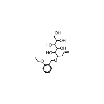 C=CCC(OCc1ccccc1OCC)C(O)C(O)C(O)C(O)CO